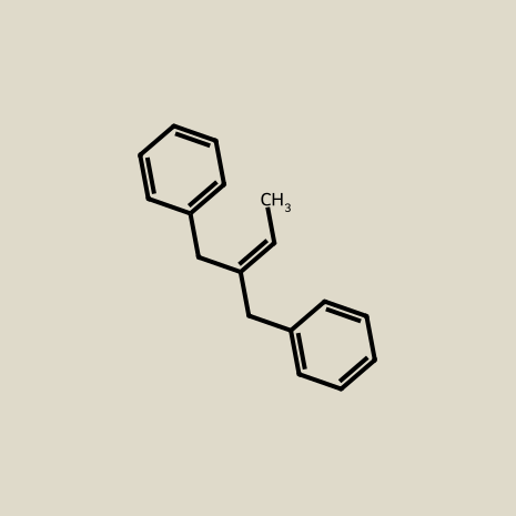 CC=C(Cc1ccccc1)Cc1ccccc1